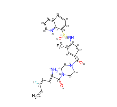 C=C/C(F)=C\C=C(/N)C(=O)N1CCN(C(=O)c2ccc(N[S+]([O-])c3cccc4cccnc34)c(C(F)(F)F)c2)CC1